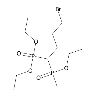 CCOP(C)(=O)C(CCCBr)P(=O)(OCC)OCC